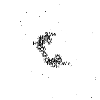 COC(=O)N[C@H](C(=O)N1CCC[C@H]1c1nc2ccc(-c3ccc(-c4ccc5c(ccc6[nH]c([C@@H]7CCCN7C(=O)[C@@H](NC(=O)OC)c7ccccc7)nc65)c4)cc3)cc2[nH]1)c1ccccc1